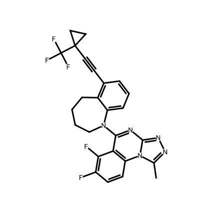 Cc1nnc2nc(N3CCCCc4c(C#CC5(C(F)(F)F)CC5)cccc43)c3c(F)c(F)ccc3n12